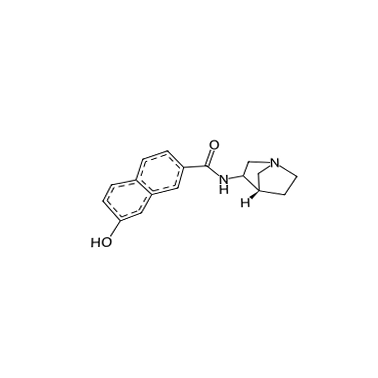 O=C(NC1CN2CC[C@H]1C2)c1ccc2ccc(O)cc2c1